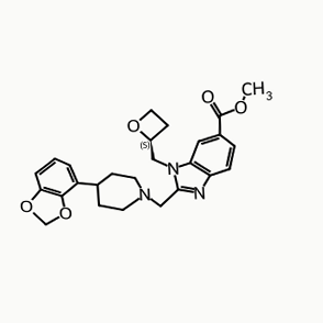 COC(=O)c1ccc2nc(CN3CCC(c4cccc5c4OCO5)CC3)n(C[C@@H]3CCO3)c2c1